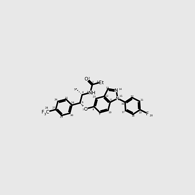 CCC(=O)N[C@@H](C)[C@H](Oc1ccc2c(cnn2-c2ccc(F)cc2)c1)c1ccc(C(F)(F)F)cc1